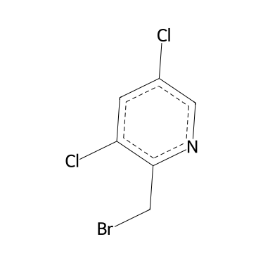 Clc1cnc(CBr)c(Cl)c1